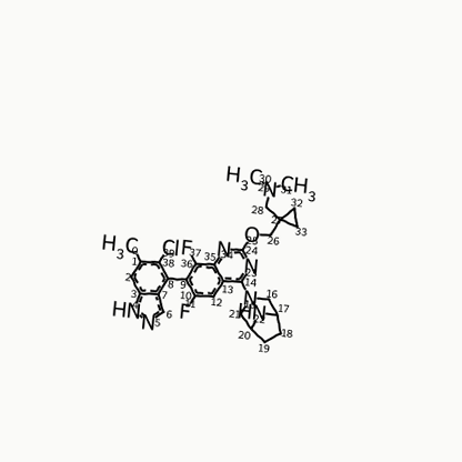 Cc1cc2[nH]ncc2c(-c2c(F)cc3c(N4CC5CCC(C4)N5)nc(OCC4(CN(C)C)CC4)nc3c2F)c1Cl